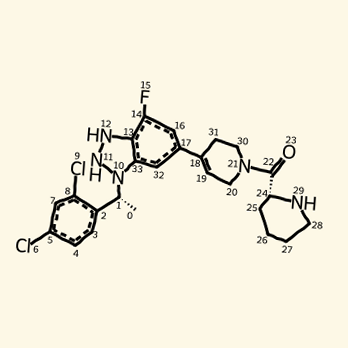 C[C@H](c1ccc(Cl)cc1Cl)N1NNc2c(F)cc(C3=CCN(C(=O)[C@H]4CCCCN4)CC3)cc21